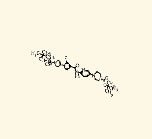 CC(C)(C)OC(=O)N1CC=C(c2ccc(C(=O)Nc3ccc(N4CCN(C(=O)OC(C)(C)C)CC4)cn3)cc2F)CC1